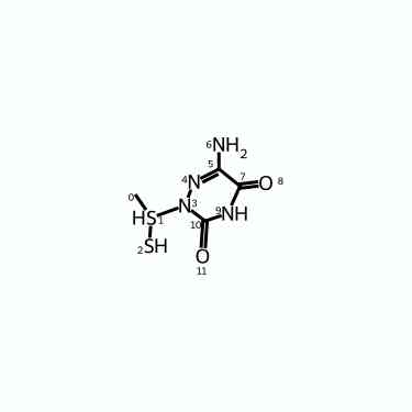 C[SH](S)n1nc(N)c(=O)[nH]c1=O